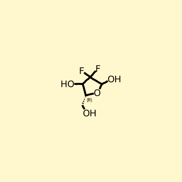 OC[C@H]1OC(O)C(F)(F)C1O